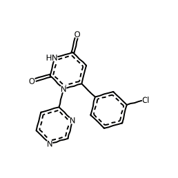 O=c1cc(-c2cccc(Cl)c2)n(-c2ccncn2)c(=O)[nH]1